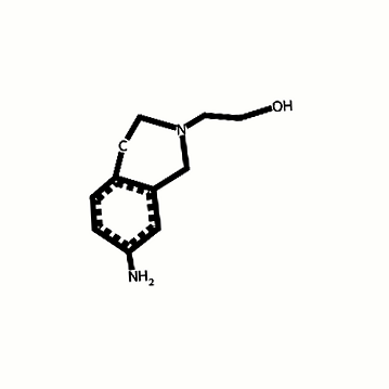 Nc1ccc2c(c1)CN(CCO)CC2